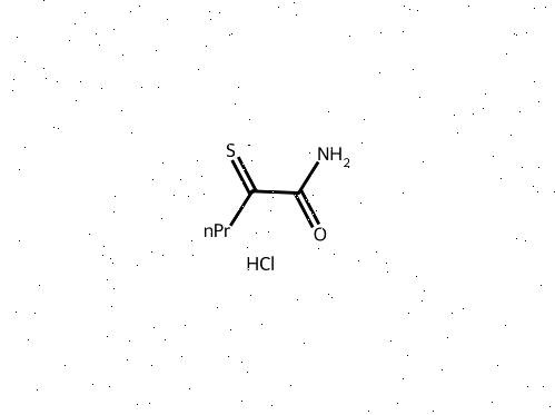 CCCC(=S)C(N)=O.Cl